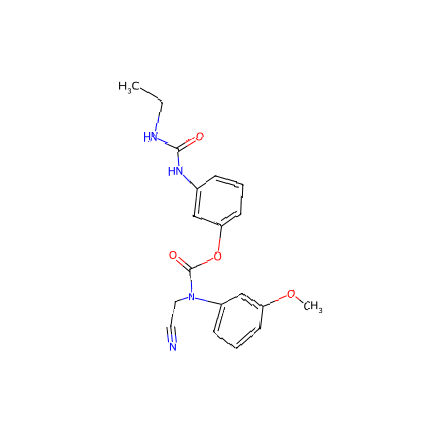 CCNC(=O)Nc1cccc(OC(=O)N(CC#N)c2cccc(OC)c2)c1